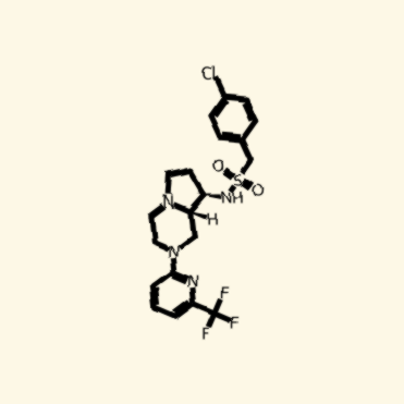 O=S(=O)(Cc1ccc(Cl)cc1)N[C@@H]1CCN2CCN(c3cccc(C(F)(F)F)n3)C[C@@H]12